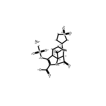 CS(=O)(=O)OC1=C(C(=O)[O-])N2C(=O)C3NCCC1C32C(=O)N[C@H]1CCS(=O)(=O)C1.[Na+]